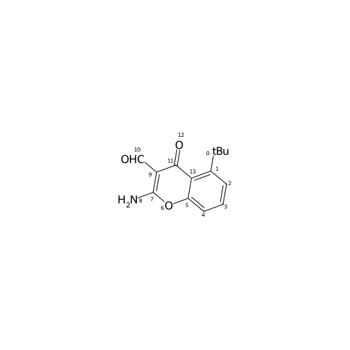 CC(C)(C)c1cccc2oc(N)c(C=O)c(=O)c12